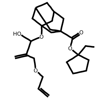 C=CCOCC(=C)C(O)OC12CC3CC(C1)CC(C(=O)OC1(CC)CCCC1)(C3)C2